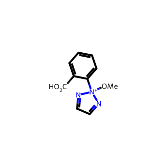 CO[N+]1(c2ccccc2C(=O)O)N=CC=N1